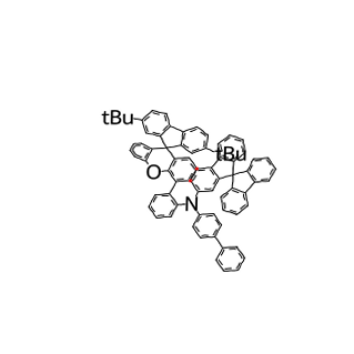 CC(C)(C)c1ccc2c(c1)C1(c3ccccc3Oc3c(-c4ccccc4N(c4ccc(-c5ccccc5)cc4)c4ccc5c(c4)C4(c6ccccc6-c6ccccc64)c4ccccc4-5)cccc31)c1cc(C(C)(C)C)ccc1-2